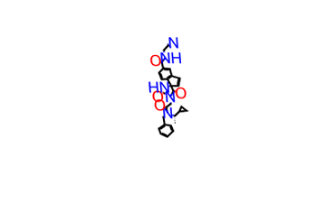 C[C@@H](C1CC1)N(Cc1ccccc1)C(=O)CN1C(=O)NC2(C=Cc3cc(C(=O)NCC#N)ccc32)C1=O